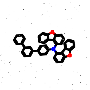 c1ccc(-c2cccc(-c3ccc(N(c4cccc5oc6ccccc6c45)c4cccc5oc6ccccc6c45)cc3)c2)cc1